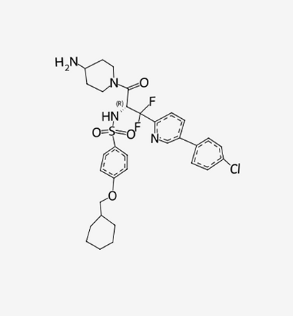 NC1CCN(C(=O)[C@@H](NS(=O)(=O)c2ccc(OCC3CCCCC3)cc2)C(F)(F)c2ccc(-c3ccc(Cl)cc3)cn2)CC1